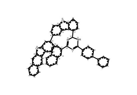 c1ccc(-c2ccc(C3=NC(c4ccc5ccccc5c4)=NC(c4cccc5oc6ccc(-c7ccc8c(c7)oc7cc9ccccc9cc78)cc6c45)N3)cc2)cc1